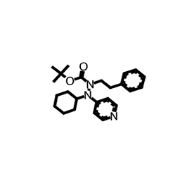 CC(C)(C)OC(=O)N(CCc1ccccc1)N(c1ccncc1)C1CCCCC1